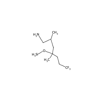 CC(CN)CC(C)(CCC(F)(F)F)O[SiH3]